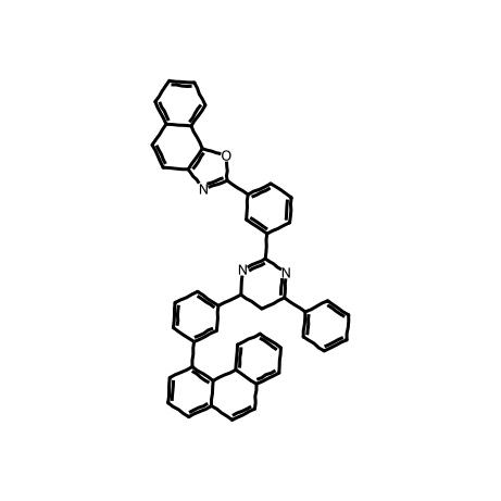 c1ccc(C2=NC(c3cccc(-c4nc5ccc6ccccc6c5o4)c3)=NC(c3cccc(-c4cccc5ccc6ccccc6c45)c3)C2)cc1